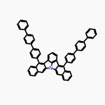 c1ccc(-c2ccc(-c3ccc(-c4c5ccccc5cc5c4c4cccc6c7c(-c8ccc(-c9ccc(-c%10ccccc%10)cc9)cc8)c8ccccc8cc7n5c46)cc3)cc2)cc1